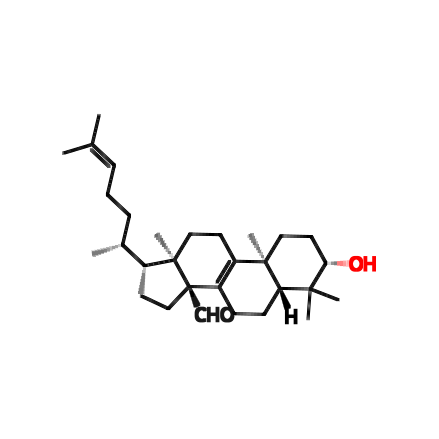 CC(C)=CCC[C@@H](C)[C@H]1CC[C@@]2(C=O)C3=C(CC[C@]12C)[C@@]1(C)CC[C@H](O)C(C)(C)[C@@H]1CC3